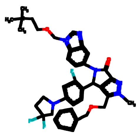 Cn1nc2c(c1COCc1ccccc1)C(c1ccc(N3CCC(F)(F)C3)cc1F)N(c1ccc3c(c1)ncn3COCC[Si](C)(C)C)C2=O